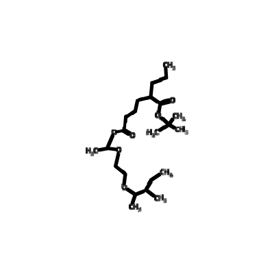 CCCC(CCCC(=O)OC(C)OCCOC(C)C(C)CC)C(=O)OC(C)(C)C